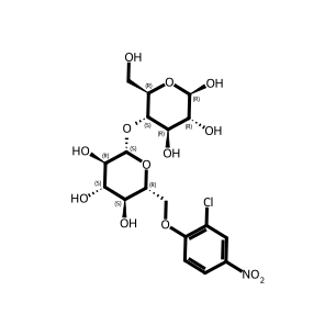 O=[N+]([O-])c1ccc(OC[C@H]2O[C@@H](O[C@H]3[C@H](O)[C@@H](O)[C@H](O)O[C@@H]3CO)[C@H](O)[C@@H](O)[C@@H]2O)c(Cl)c1